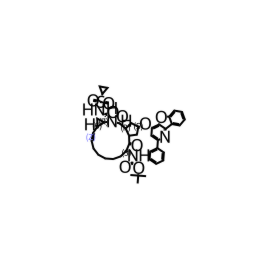 CC(C)(C)OC(=O)N[C@H]1CCCCC/C=C\[C@@H]2C[C@@]2(C(=O)NS(=O)(=O)C2CC2)NC(=O)[C@@H]2C[C@@H](Oc3cc(-c4ccccc4)nc4c3oc3ccccc34)CC2C1=O